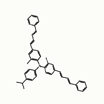 Cc1cc(C=CC=Cc2ccccc2)ccc1N(c1ccc(C(C)C)cc1)c1ccc(C=CC=Cc2ccccc2)cc1C